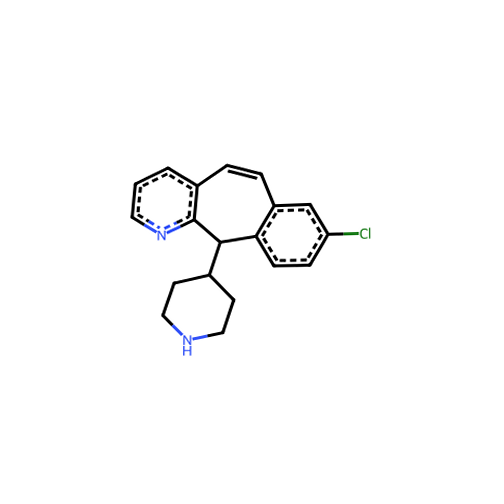 Clc1ccc2c(c1)C=Cc1cccnc1C2C1CCNCC1